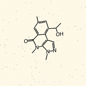 Cc1cc(C(C)O)c2c(c1)c(=O)n(C)c1c2cnn1C